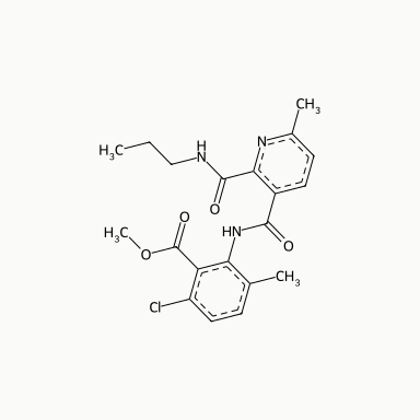 CCCNC(=O)c1nc(C)ccc1C(=O)Nc1c(C)ccc(Cl)c1C(=O)OC